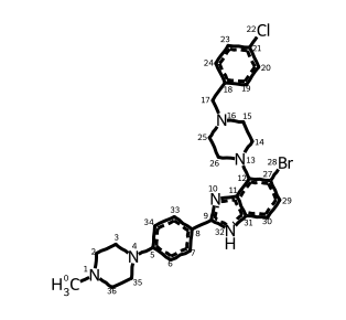 CN1CCN(c2ccc(-c3nc4c(N5CCN(Cc6ccc(Cl)cc6)CC5)c(Br)ccc4[nH]3)cc2)CC1